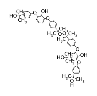 CC(C)(O)c1ccc(Oc2cccc(Oc3ccc(C(C)(C)OOC(C)(C)c4ccc(Oc5cc(C(C)(C)O)cc(Oc6ccc(C(C)(C)O)cc6)c5O)cc4)cc3)c2O)cc1